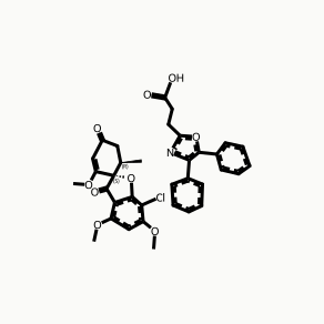 COC1=CC(=O)C[C@@H](C)[C@]12Oc1c(Cl)c(OC)cc(OC)c1C2=O.O=C(O)CCc1nc(-c2ccccc2)c(-c2ccccc2)o1